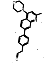 Cc1cc(N2CCOCC2)c2ccc(-c3ccc(CC=O)cc3)cc2n1